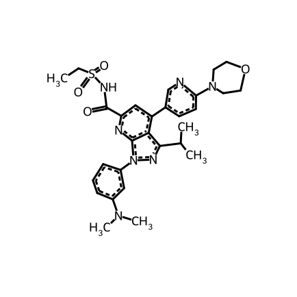 CCS(=O)(=O)NC(=O)c1cc(-c2ccc(N3CCOCC3)nc2)c2c(C(C)C)nn(-c3cccc(N(C)C)c3)c2n1